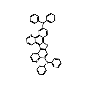 c1ccc(N(c2ccccc2)c2ccc3c(c2)c2ncccc2c2c3sc3cc(N(c4ccccc4)c4ccccc4)c4ncccc4c32)cc1